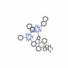 CC1(C)c2ccccc2C2(c3ccc(C4=NC(c5ccc6ccccc6c5)=NC(c5ccccc5)N4)cc3-c3c(-c4nc(-c5ccccc5)nc(-c5ccccc5)n4)cccc32)c2ccccc21